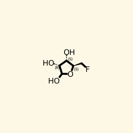 OC1O[C@H](CF)[C@@H](O)[C@H]1O